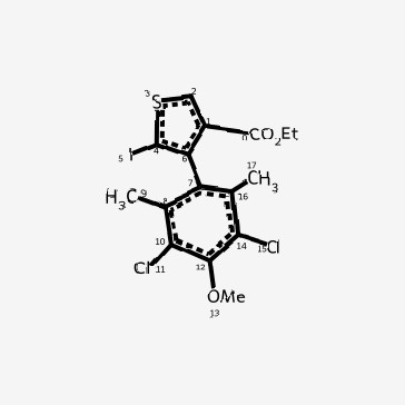 CCOC(=O)c1csc(I)c1-c1c(C)c(Cl)c(OC)c(Cl)c1C